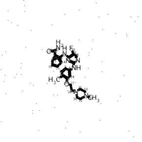 Cc1ccc(Nc2ncc(F)c(NC3C4C=CC(C4)C3C(N)=O)n2)cc1OCCN1CCN(C)CC1